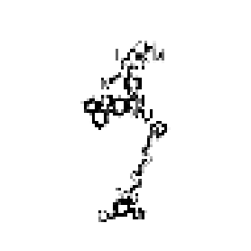 CC(C)(C)OC(=O)N1CCN(c2nc(OC[C@@H]3CCCN3CCCOCCOCCOc3c(Br)cc(C=O)cc3Br)nc3c2CCN(c2cccc4cccc(Cl)c24)C3)C[C@@H]1CC#N